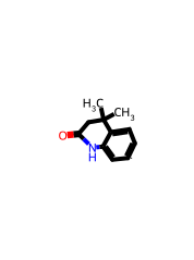 CC1(C)CC(=O)Nc2c[c]ccc21